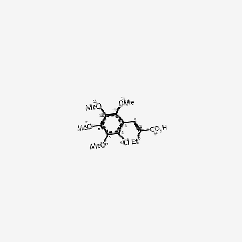 CC/C(=C\c1c(Cl)c(OC)c(OC)c(OC)c1OC)C(=O)O